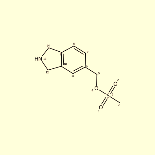 CS(=O)(=O)OCc1ccc2c(c1)CNC2